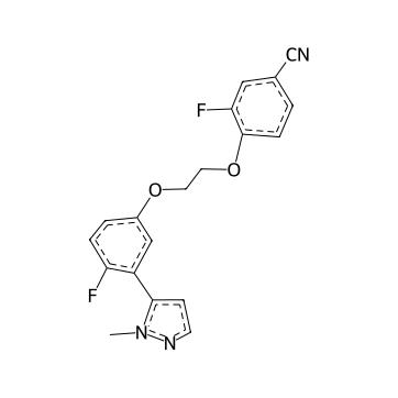 Cn1nccc1-c1cc(OCCOc2ccc(C#N)cc2F)ccc1F